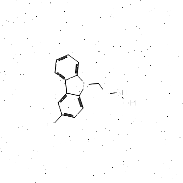 OBOCn1c2ccccc2c2cc(Cl)ccc21